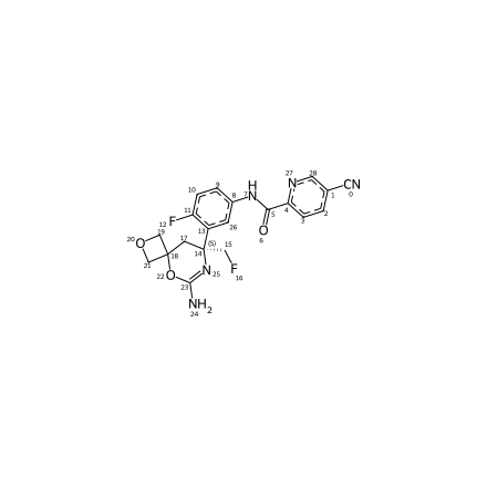 N#Cc1ccc(C(=O)Nc2ccc(F)c([C@]3(CF)CC4(COC4)OC(N)=N3)c2)nc1